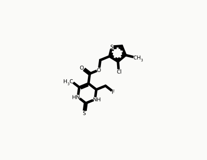 CC1=C(C(=O)OCc2scc(C)c2Cl)C(CF)NC(=S)N1